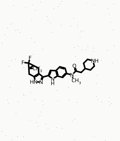 CN(C(=O)CC1CCNCC1)c1ccc2cc(-c3n[nH]c4c3CC3C(F)(F)C3(C)C4)[nH]c2c1